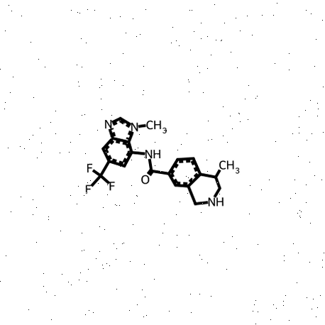 CC1CNCc2cc(C(=O)Nc3cc(C(F)(F)F)cc4ncn(C)c34)ccc21